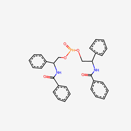 O=C(NC(CO[PH](=O)OCC(NC(=O)c1ccccc1)c1ccccc1)c1ccccc1)c1ccccc1